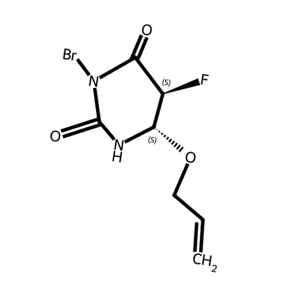 C=CCO[C@@H]1NC(=O)N(Br)C(=O)[C@H]1F